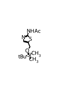 CC(=O)Nc1ncc(CO[Si](C)(C)C(C)(C)C)s1